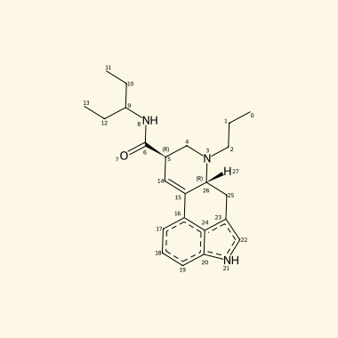 CCCN1C[C@H](C(=O)NC(CC)CC)C=C2c3cccc4[nH]cc(c34)C[C@H]21